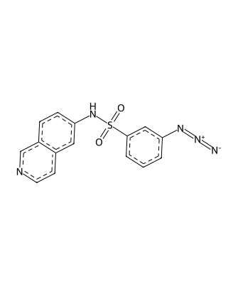 [N-]=[N+]=Nc1cccc(S(=O)(=O)Nc2ccc3cnccc3c2)c1